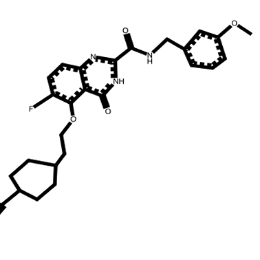 COc1cccc(CNC(=O)c2nc3ccc(F)c(OCCC4CCC(C#N)CC4)c3c(=O)[nH]2)c1